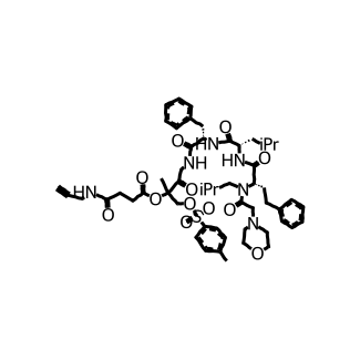 C#CCNC(=O)CCC(=O)OC(C)(COS(=O)(=O)c1ccc(C)cc1)C(=O)CNC(=O)[C@H](Cc1ccccc1)NC(=O)[C@H](CC(C)C)NC(=O)[C@H](CCc1ccccc1)N(CC(C)C)C(=O)CN1CCOCC1